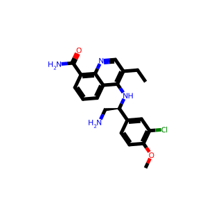 CCc1cnc2c(C(N)=O)cccc2c1N[C@H](CN)c1ccc(OC)c(Cl)c1